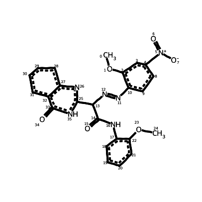 COc1cc([N+](=O)[O-])ccc1N=NC(C(=O)Nc1ccccc1OC)c1nc2ccccc2c(=O)[nH]1